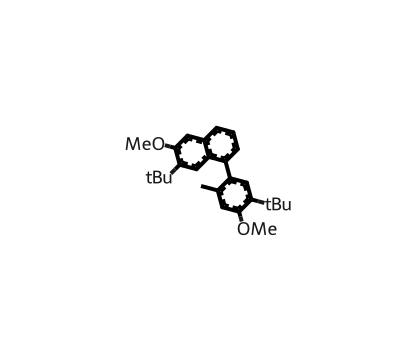 COc1cc(C)c(-c2cccc3cc(OC)c(C(C)(C)C)cc23)cc1C(C)(C)C